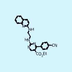 CCOC(=O)c1cnc(NCCNc2ccc3ccccc3n2)nc1-c1ccc(C#N)cc1